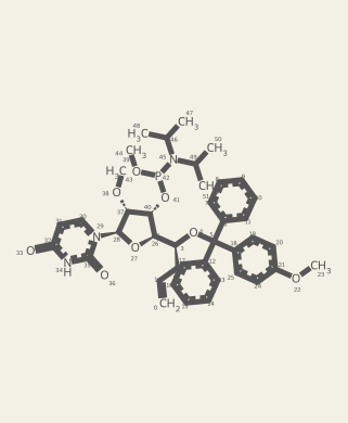 C=CC[C@H](OC(c1ccccc1)(c1ccccc1)c1ccc(OC)cc1)[C@H]1O[C@@H](n2ccc(=O)[nH]c2=O)[C@H](OC)[C@@H]1OP(OC)N(C(C)C)C(C)C